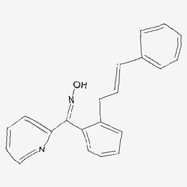 ON=C(c1ccccn1)c1ccccc1CC=Cc1ccccc1